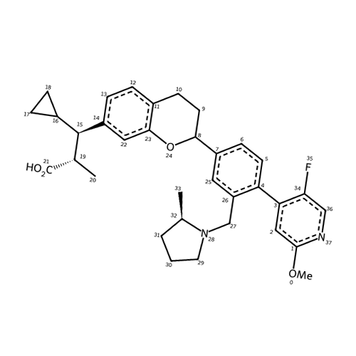 COc1cc(-c2ccc(C3CCc4ccc([C@H](C5CC5)[C@H](C)C(=O)O)cc4O3)cc2CN2CCC[C@H]2C)c(F)cn1